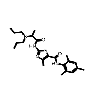 CCCN(CCC)C(C)C(=O)Nc1nc(C)c(C(=O)Nc2c(C)cc(C)cc2C)s1